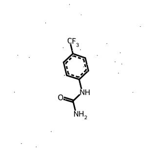 NC(=O)Nc1[c]cc(C(F)(F)F)cc1